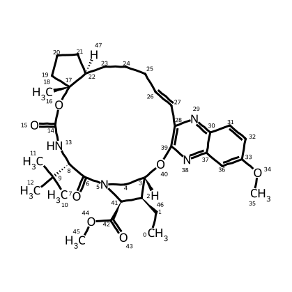 CC[C@@H]1[C@@H]2CN(C(=O)[C@H](C(C)(C)C)NC(=O)O[C@]3(C)CCC[C@H]3CCC/C=C/c3nc4ccc(OC)cc4nc3O2)[C@@H]1C(=O)OC